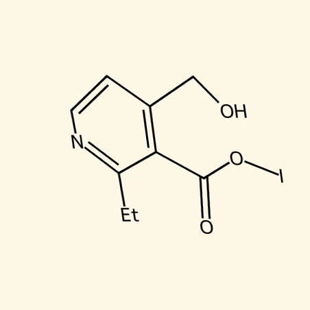 CCc1nccc(CO)c1C(=O)OI